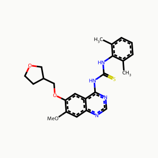 COc1cc2ncnc(NC(=S)Nc3c(C)cccc3C)c2cc1OCC1CCOC1